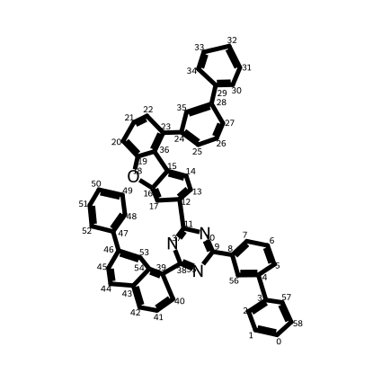 c1ccc(-c2cccc(-c3nc(-c4ccc5c(c4)oc4cccc(-c6cccc(-c7ccccc7)c6)c45)nc(-c4cccc5ccc(-c6ccccc6)cc45)n3)c2)cc1